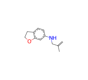 C=C(C)CNc1ccc2c(c1)OCC2